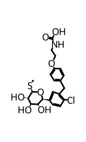 CS[C@H]1O[C@@H](c2ccc(Cl)c(Cc3ccc(OCCNC(=O)O)cc3)c2)[C@H](O)[C@@H](O)[C@@H]1O